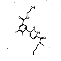 CCCCN(C)C(=O)C1=CC=C(c2cc(C(=O)NCCO)cc(F)c2C)NN1